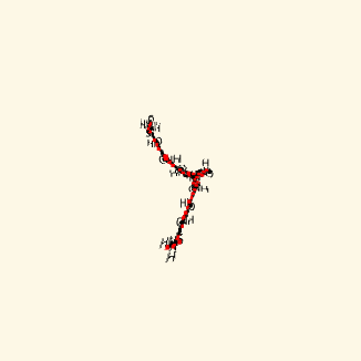 C=C1NC2CSC(CCCCC(=O)NCCCCCC(=O)NCCCCCC(=O)NC3CCN(c4nc(N5CCC(NC(C)=O)CC5)nc(N5CCC(NC(=O)CCCCCNC(=O)CCCCCNC(=O)CCCCC6SCC7NC(=O)NC76)CC5)n4)CC3)C2N1